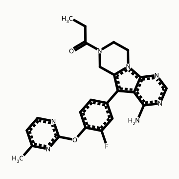 CCC(=O)N1CCn2c(c(-c3ccc(Oc4nccc(C)n4)c(F)c3)c3c(N)ncnc32)C1